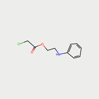 O=C(CCl)OCCNc1ccccc1